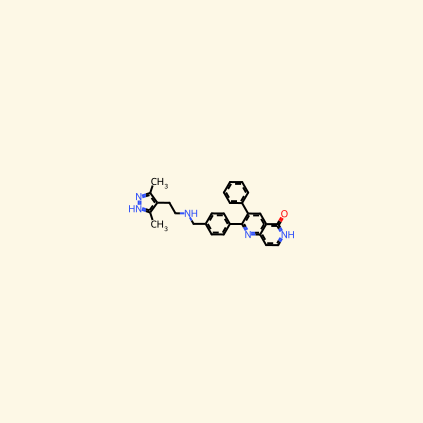 Cc1n[nH]c(C)c1CCNCc1ccc(-c2nc3cc[nH]c(=O)c3cc2-c2ccccc2)cc1